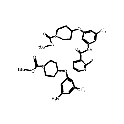 CC(C)(C)OC(=O)N1CCC(Oc2cc(N)cc(C(F)(F)F)c2)CC1.CC(C)(C)OC(=O)N1CCC(Oc2cc(NC(=O)c3cccnc3F)cc(C(F)(F)F)c2)CC1